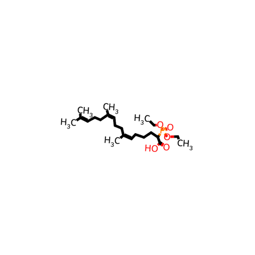 CCOP(=O)(OCC)C(CCCC=C(C)CCC=C(C)CCC=C(C)C)C(=O)O